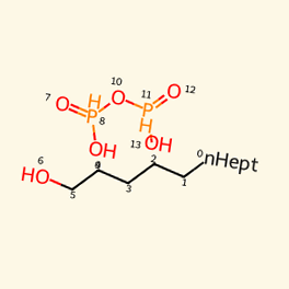 CCCCCCCCCCCCO.O=[PH](O)O[PH](=O)O